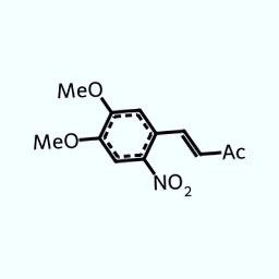 COc1cc(/C=C/C(C)=O)c([N+](=O)[O-])cc1OC